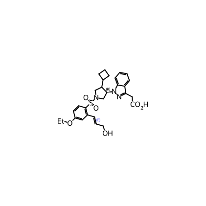 CCOc1ccc(S(=O)(=O)N2CC(C3CCC3)[C@@H](n3nc(CC(=O)O)c4ccccc43)C2)c(/C=C/CO)c1